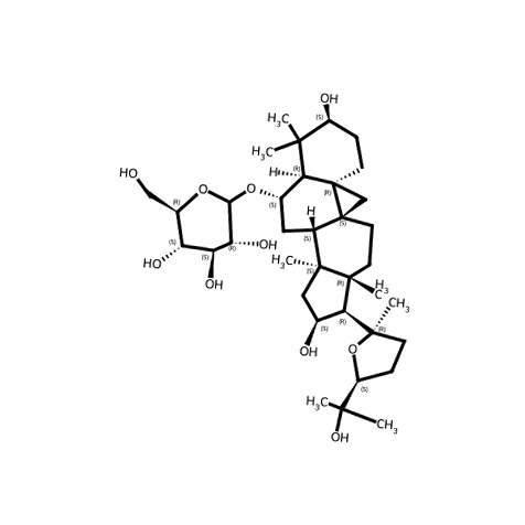 CC(C)(O)[C@@H]1CC[C@](C)([C@H]2[C@@H](O)C[C@@]3(C)[C@@H]4C[C@H](OC5O[C@H](CO)[C@@H](O)[C@H](O)[C@H]5O)[C@H]5C(C)(C)[C@@H](O)CC[C@@]56C[C@@]46CC[C@]23C)O1